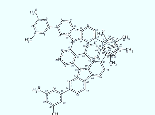 Cc1cc(C)cc(-c2ccc3c4ccc(-c5cc(C)cc(C)c5)cc4n(-c4cncc(-n5c6cc(-c7cc(C)cc(C)c7)ccc6c6ccc(-c7cc(C)cc(C)c7)cc65)c4-c4ccc(C#N)cc4)c3c2)c1